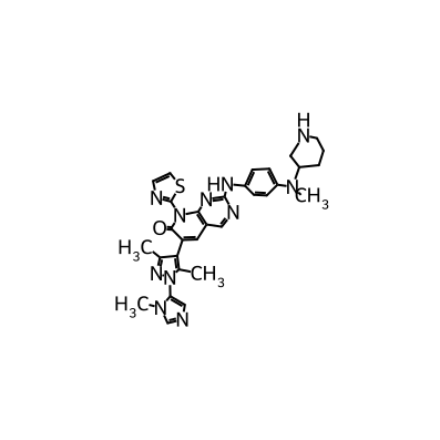 Cc1nn(-c2cncn2C)c(C)c1-c1cc2cnc(Nc3ccc(N(C)C4CCCNC4)cc3)nc2n(-c2nccs2)c1=O